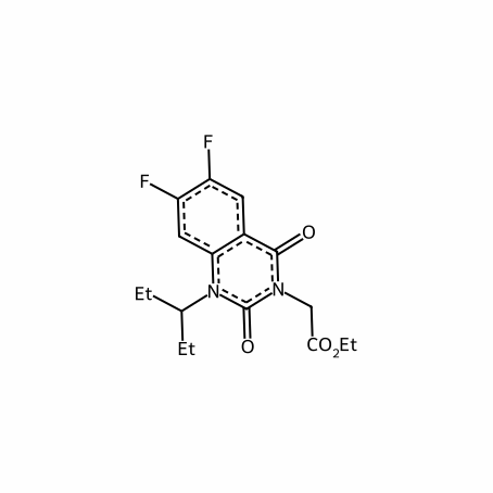 CCOC(=O)Cn1c(=O)c2cc(F)c(F)cc2n(C(CC)CC)c1=O